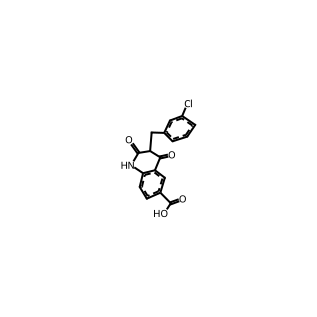 O=C(O)c1ccc2c(c1)C(=O)C(Cc1cccc(Cl)c1)C(=O)N2